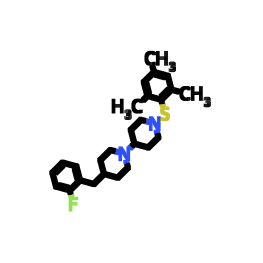 Cc1cc(C)c(SN2CCC(N3CCC(Cc4ccccc4F)CC3)CC2)c(C)c1